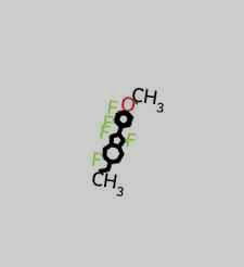 CCCC1CCC2C(F)C(c3ccc(OCC)c(F)c3F)C(F)C2CC1F